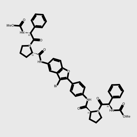 COC(=O)N[C@@H](C(=O)N1CCC[C@H]1C(=O)Nc1ccc(-c2oc3ccc(NC(=O)[C@@H]4CCCN4C(=O)[C@H](NC(=O)OC)c4ccccc4)cc3c2Br)cc1)c1ccccc1